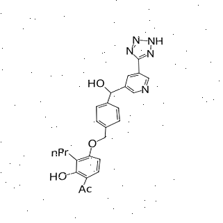 CCCc1c(OCc2ccc(C(O)c3cncc(-c4nn[nH]n4)c3)cc2)ccc(C(C)=O)c1O